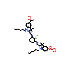 CCCCCCN1/C(=C/C=C2\CCCC(/C=C/C3=[N+](CCCCCC)c4ccc(OC=O)cc4C3(C)C)=C2Cl)C(C)(C)c2cc(C(C)=O)ccc21